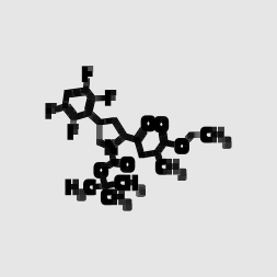 CCOC(=O)C(C)CC(=O)C1CC(c2c(F)c(F)cc(F)c2F)CN1C(=O)OC(C)(C)C